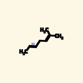 C/C=C/CC=C(C)C